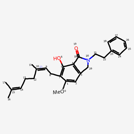 COc1cc2c(c(O)c1C/C=C(/C)CCC=C(C)C)C(=O)N(CCc1ccccc1)C2